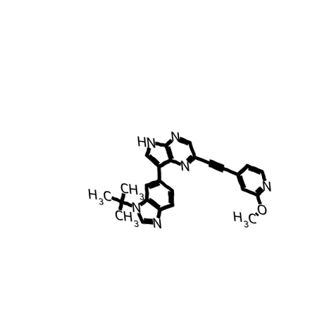 COc1cc(C#Cc2cnc3[nH]cc(-c4ccc5ncn(C(C)(C)C)c5c4)c3n2)ccn1